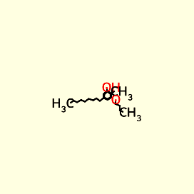 CCCCCCCCCc1cc(O)c(C)c(OCCCC)c1